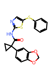 O=C(Nc1ncc(Sc2ccccc2)s1)C1(c2ccc3c(c2)OCO3)CC1